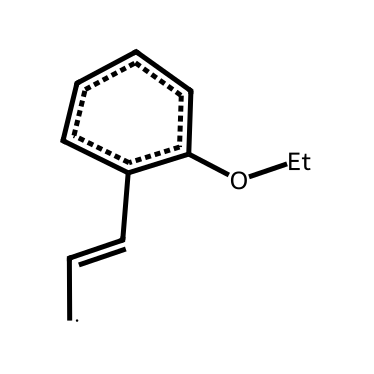 [CH2]C=Cc1ccccc1OCC